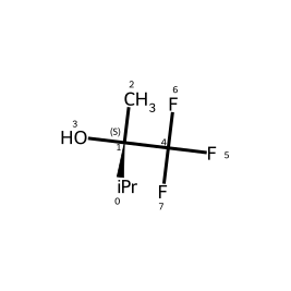 CC(C)[C@](C)(O)C(F)(F)F